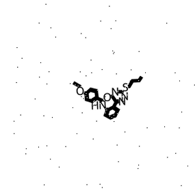 CCCCSc1nnc2c(n1)OC(c1ccc(OCC)cc1)Nc1ccccc1-2